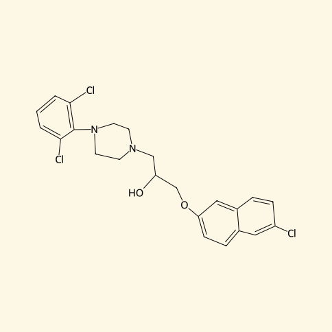 OC(COc1ccc2cc(Cl)ccc2c1)CN1CCN(c2c(Cl)cccc2Cl)CC1